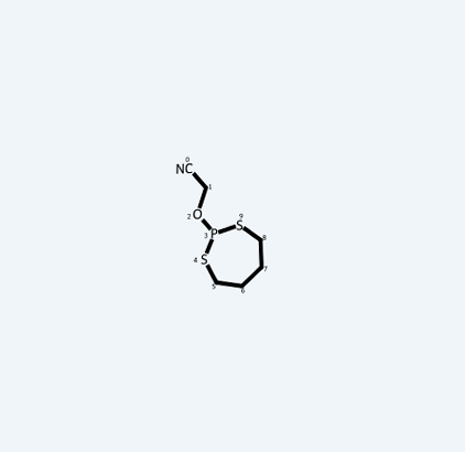 N#CCOP1SCCCCS1